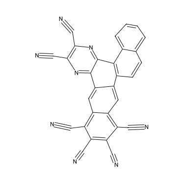 N#Cc1nc2c3cc4c(C#N)c(C#N)c(C#N)c(C#N)c4cc3c3ccc4ccccc4c3c2nc1C#N